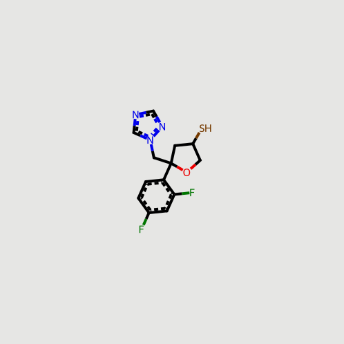 Fc1ccc(C2(Cn3cncn3)CC(S)CO2)c(F)c1